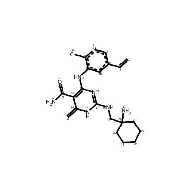 C=Cc1cnc(Cl)c(NC2=C(C(N)=O)C(=C)NC(NCC3(N)CCCCC3)=N2)c1